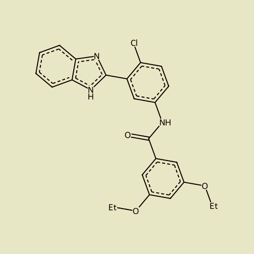 CCOc1cc(OCC)cc(C(=O)Nc2ccc(Cl)c(-c3nc4ccccc4[nH]3)c2)c1